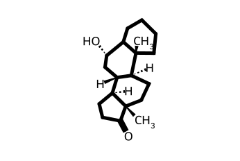 C[C@]12CCCCC1[C@@H](O)C[C@@H]1[C@@H]2CC[C@]2(C)C(=O)CC[C@@H]12